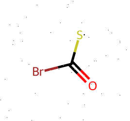 O=C([S])Br